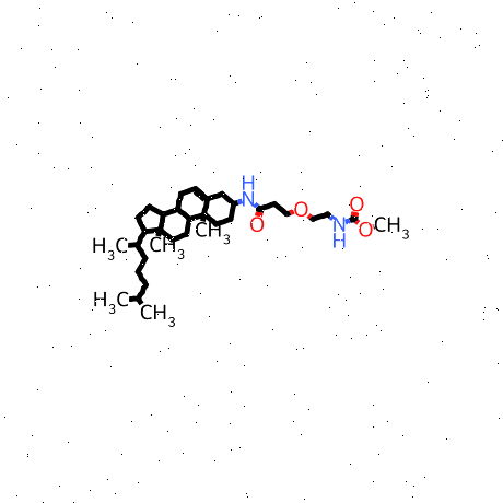 COC(=O)NCCOCCC(=O)NC1CCC2(C)C(=CCC3C2CCC2(C)C(C(C)CCCC(C)C)CCC32)C1